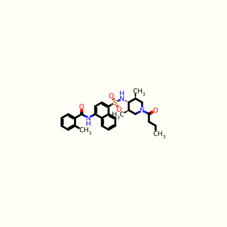 CCCC(=O)N1C[C@@H](C)[C@H](NS(=O)(=O)c2ccc(NC(=O)c3ccccc3C)c3ccccc23)[C@@H](C)C1